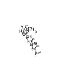 CC(C)(C)OC(=O)N1CCC(c2ncc(C3CC3)cn2)CC1